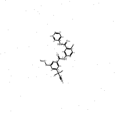 CSCc1cc(C(=O)Nc2ccc(C)c(C(=O)Nc3cccnc3)c2)cc(C(C)(C)C#N)c1